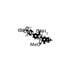 COCOc1c(-c2nc(C(N)=O)c3cc(N4C[C@@H](C)N(C(=O)OC(C)(C)C)[C@@H](C)C4)ccc3n2)cc2cn(C)nc2c1C